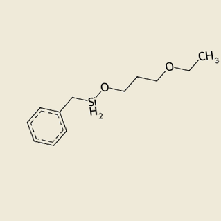 CCOCCCO[SiH2]Cc1ccccc1